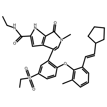 CCNC(=O)c1cc2c(-c3cc(S(=O)(=O)CC)ccc3Oc3c(C)cccc3C=CC3CCCC3)cn(C)c(=O)c2[nH]1